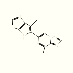 Cc1cc(-c2[nH]c3scnc3c2C(C)C)cn2ncnc12